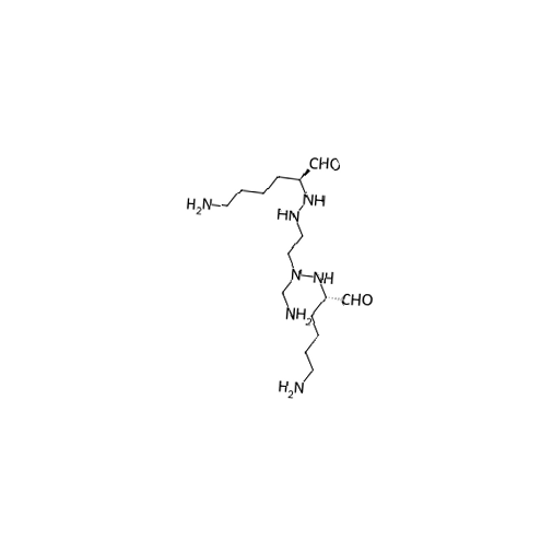 NCCCC[C@@H](C=O)NNCCN(CN)N[C@H](C=O)CCCCN